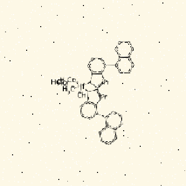 CC(C)C1=Cc2c(-c3cccc4ccccc34)cccc2[CH]1[Hf]([CH3])([CH3])(=[GeH2])[CH]1C(C(C)C)=Cc2c(-c3cccc4ccccc34)cccc21.Cl.Cl